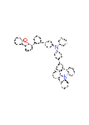 c1ccc(N(c2ccc(-c3cccc(-c4ccccc4-n4c5ccccc5c5ccccc54)c3)cc2)c2ccc(-c3cccc(-c4cccc5c4oc4ccccc45)c3)cc2)cc1